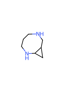 C1CNCC2CC2NC1